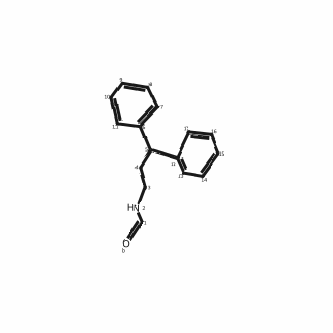 O=[C]NCCC(c1ccccc1)c1ccccc1